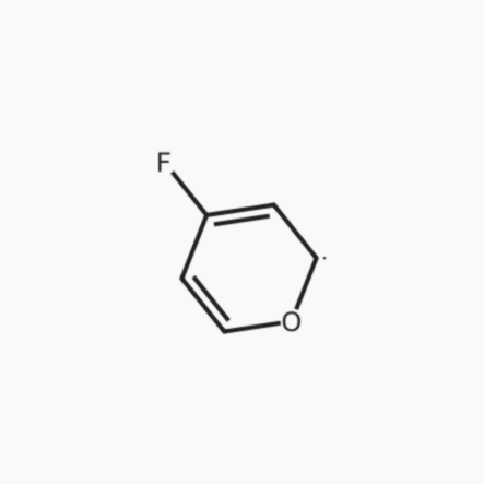 FC1=C[CH]OC=C1